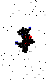 Cc1cc2c3c(c1)Oc1cc(-c4cc(C#N)cc(C(C)(C)C)c4N(c4ccccc4)c4ccccc4)ccc1B3c1ccc(-c3cc(C#N)ccc3N(c3ccccc3)c3ccccc3)cc1O2